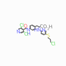 O=C(Nc1ccc(CC(Nc2ccc(SCCCCl)cn2)C(=O)O)cc1)c1c(Cl)cncc1Cl